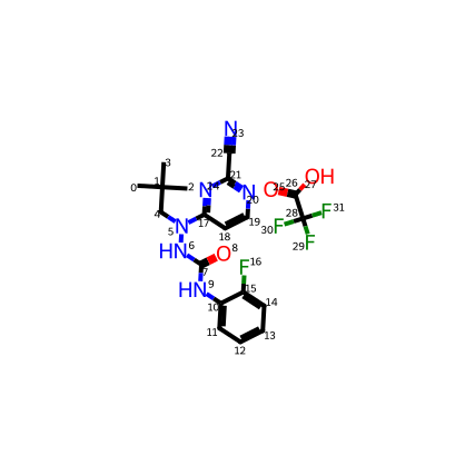 CC(C)(C)CN(NC(=O)Nc1ccccc1F)c1ccnc(C#N)n1.O=C(O)C(F)(F)F